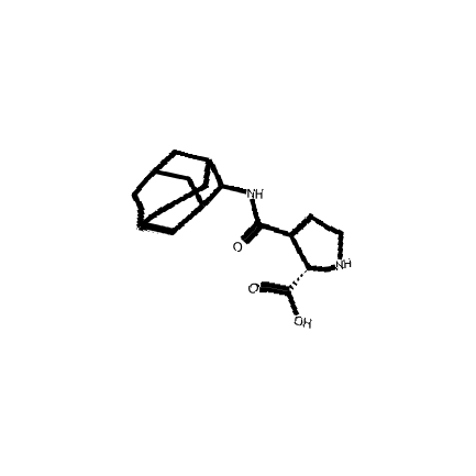 O=C(NC1C2CC3CC(C2)CC1C3)C1CCN[C@@H]1C(=O)O